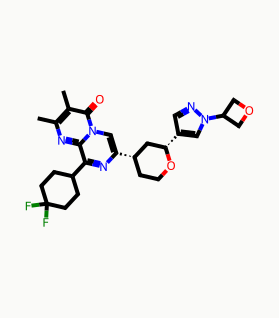 Cc1nc2c(C3CCC(F)(F)CC3)nc([C@H]3CCO[C@@H](c4cnn(C5COC5)c4)C3)cn2c(=O)c1C